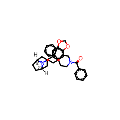 O=C(c1ccccc1)N1CCC(CCN2[C@@H]3CC[C@H]2CC(c2ccc4c(c2)OCO4)C3)(c2ccccc2)CC1